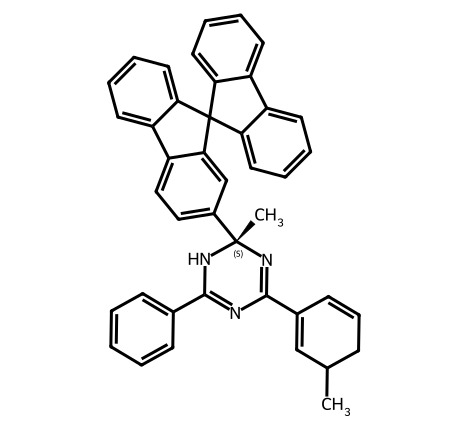 CC1C=C(C2=N[C@@](C)(c3ccc4c(c3)C3(c5ccccc5-c5ccccc53)c3ccccc3-4)NC(c3ccccc3)=N2)C=CC1